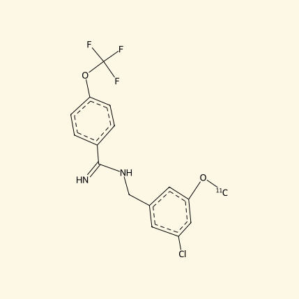 [11CH3]Oc1cc(Cl)cc(CNC(=N)c2ccc(OC(F)(F)F)cc2)c1